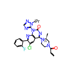 C=CC(=O)N1CCN(c2nc(=O)n(-c3ncnn3C(C)C)c3nc(-c4ccccc4F)c(Cl)cc23)[C@@H](C)C1